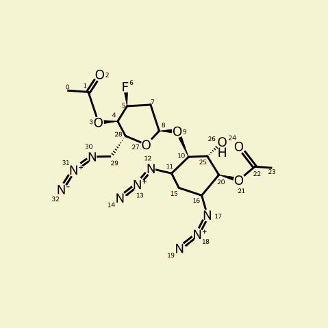 CC(=O)O[C@H]1[C@@H](F)C[C@@H](O[C@@H]2C(N=[N+]=[N-])CC(N=[N+]=[N-])[C@H](OC(C)=O)[C@H]2O)O[C@@H]1CN=[N+]=[N-]